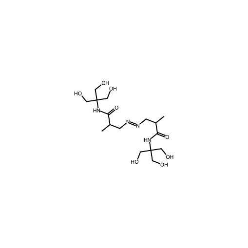 CC(CN=NCC(C)C(=O)NC(CO)(CO)CO)C(=O)NC(CO)(CO)CO